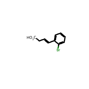 O=C(O)C/C=C/c1ccccc1Br